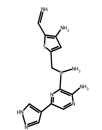 N=Cc1sc(CN(N)c2nc(-c3cn[nH]c3)cnc2N)cc1N